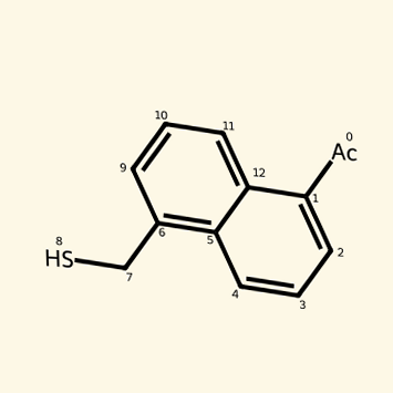 CC(=O)c1cccc2c(CS)cccc12